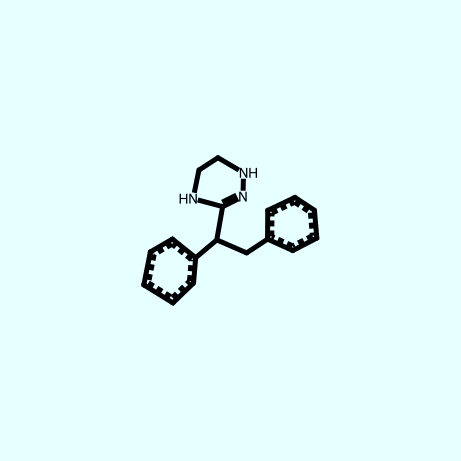 c1ccc(CC(C2=NNCCN2)c2ccccc2)cc1